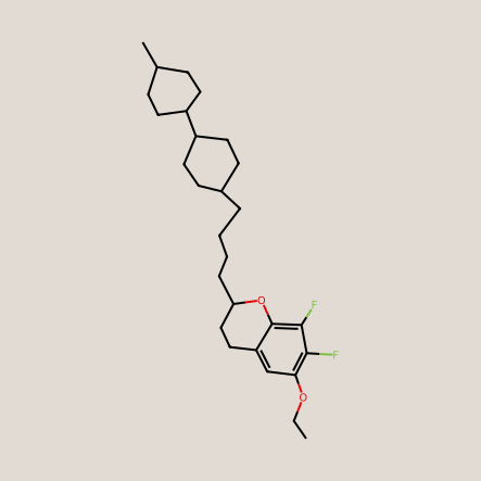 CCOc1cc2c(c(F)c1F)OC(CCCCC1CCC(C3CCC(C)CC3)CC1)CC2